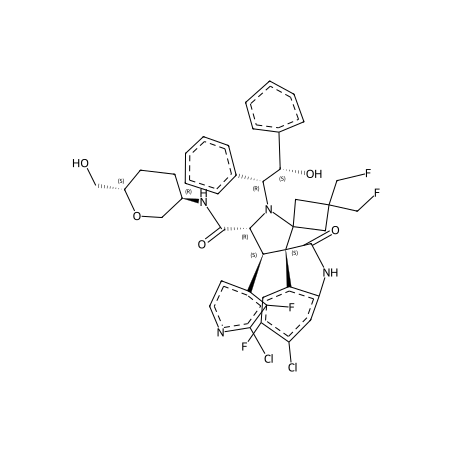 O=C(N[C@@H]1CC[C@@H](CO)OC1)[C@H]1[C@H](c2ccnc(Cl)c2F)[C@@]2(C(=O)Nc3cc(Cl)c(F)cc32)C2(CC(CF)(CF)C2)N1[C@H](c1ccccc1)[C@@H](O)c1ccccc1